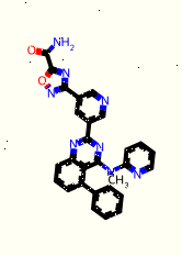 CN(c1ccccn1)c1nc(-c2cncc(-c3noc(C(N)=O)n3)c2)nc2cccc(-c3ccccc3)c12